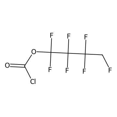 O=C(Cl)OC(F)(F)C(F)(F)C(F)(F)CF